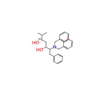 CC(C)[C@@H](O)CC(O)C(Cc1ccccc1)N(Cc1ccccc1)Cc1ccccc1